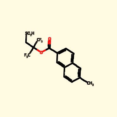 Cc1ccc2cc(C(=O)OC(CS(=O)(=O)O)(C(F)(F)F)C(F)(F)F)ccc2c1